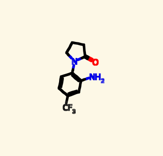 Nc1cc(C(F)(F)F)ccc1N1CCCC1=O